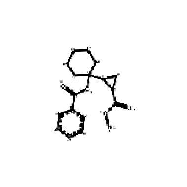 CC(C)(C)OC(=O)C1CC1C1(OC(=O)c2ccccc2)CCCCC1